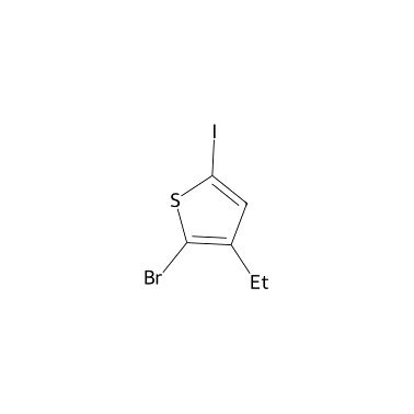 [CH2]Cc1cc(I)sc1Br